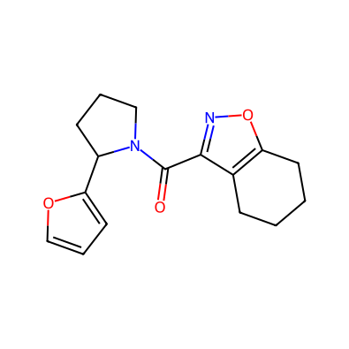 O=C(c1noc2c1CCCC2)N1CCCC1c1ccco1